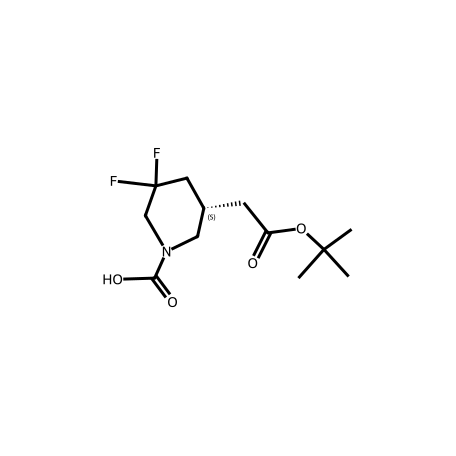 CC(C)(C)OC(=O)C[C@@H]1CN(C(=O)O)CC(F)(F)C1